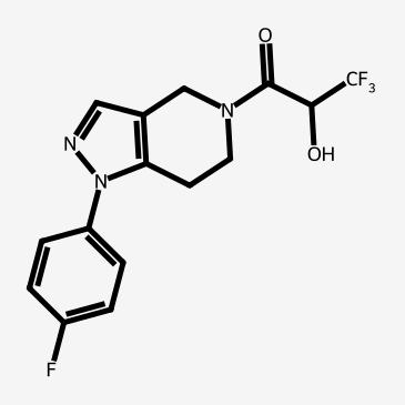 O=C(C(O)C(F)(F)F)N1CCc2c(cnn2-c2ccc(F)cc2)C1